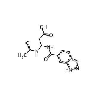 CC(=O)NC(CC(=O)O)NC(=O)c1ccc2cn[nH]c2c1